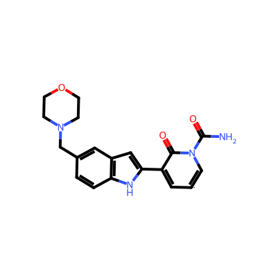 NC(=O)n1c[c]cc(-c2cc3cc(CN4CCOCC4)ccc3[nH]2)c1=O